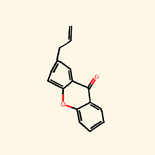 C=CCc1ccc2oc3ccccc3c(=O)c2c1